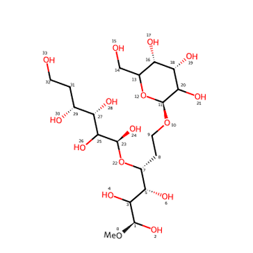 CO[C@H](O)C(O)[C@@H](O)[C@@H](CCO[C@H]1OC(CO)[C@H](O)[C@H](O)C1O)O[C@H](O)C(O)[C@@H](O)[C@H](O)CCO